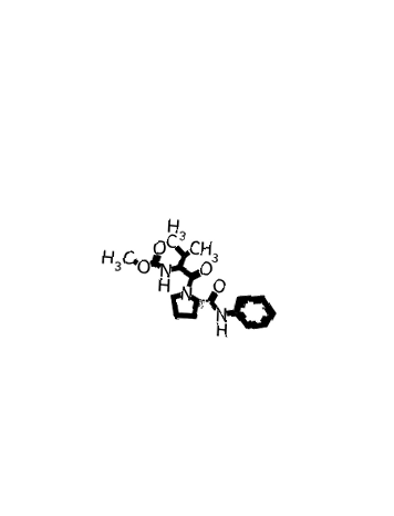 COC(=O)NC(C(=O)N1CCC[C@H]1C(=O)Nc1ccccc1)C(C)C